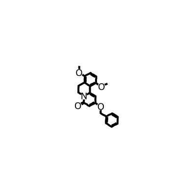 COc1ccc(OC)c2c1CCn1c-2cc(OCc2ccccc2)cc1=O